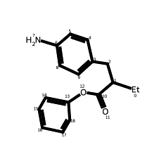 CCC(Cc1ccc(N)cc1)C(=O)Oc1ccccc1